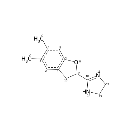 Cc1cc2c(cc1C)OC(C1=NCCN1)C2